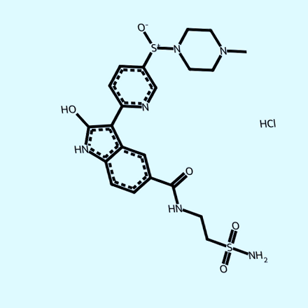 CN1CCN([S+]([O-])c2ccc(-c3c(O)[nH]c4ccc(C(=O)NCCS(N)(=O)=O)cc34)nc2)CC1.Cl